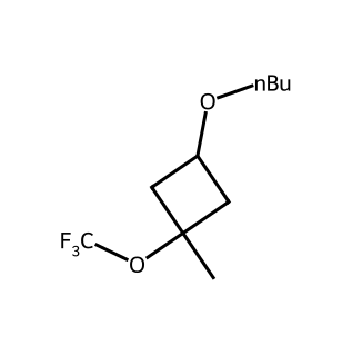 CCCCOC1CC(C)(OC(F)(F)F)C1